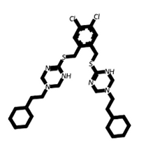 Clc1cc(CSC2=NCN(CCC3CCCCC3)CN2)c(CSC2=NCN(CCC3CCCCC3)CN2)cc1Cl